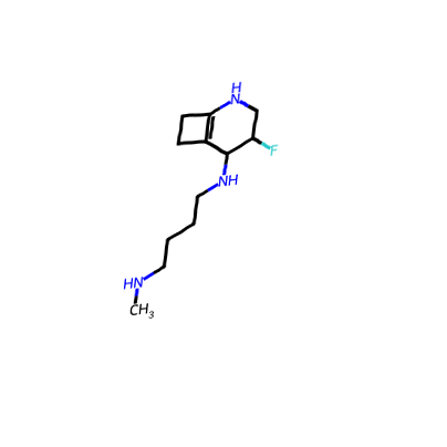 CNCCCCNC1C2=C(CC2)NCC1F